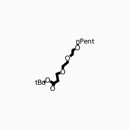 CCCCCOCCOCCOCCC(=O)OC(C)(C)C